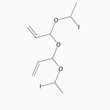 C=CC(OC(C)I)OC(C=C)OC(C)I